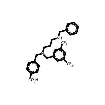 O=C(O)c1ccc(CN(CCCNCc2ccccc2)Cc2cc(C(F)(F)F)cc(C(F)(F)F)c2)cc1